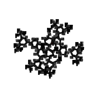 N#Cc1ccc(-c2ccc(-c3ccc(C(F)(F)F)cc3C#N)cc2-n2c3ccc(-c4cc(C(F)(F)F)cc(C(F)(F)F)c4)cc3c3cc(-c4cc(C(F)(F)F)cc(C(F)(F)F)c4)ccc32)c(-n2c3ccc(-c4cc(C(F)(F)F)cc(C(F)(F)F)c4)cc3c3cc(-c4cc(C(F)(F)F)cc(C(F)(F)F)c4)ccc32)c1